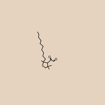 CCCCCCCCCCC1(C)SCC(C)(C)C1C(=O)C=O